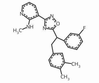 CNc1ncccc1-c1noc(C(Cc2ccc(C)c(C)c2)c2cccc(F)c2)n1